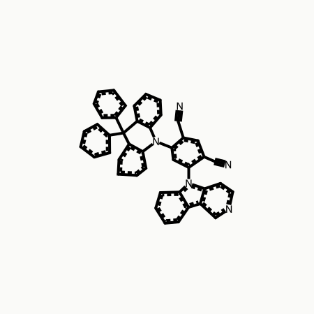 N#Cc1cc(C#N)c(-n2c3ccccc3c3cnccc32)cc1N1c2ccccc2C(c2ccccc2)(c2ccccc2)c2ccccc21